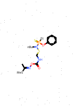 CCCCN(SCNC(=O)ON=C(C)SC)P(=S)(CC)Oc1ccccc1